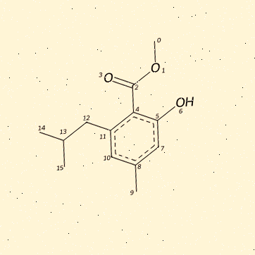 COC(=O)c1c(O)cc(C)cc1CC(C)C